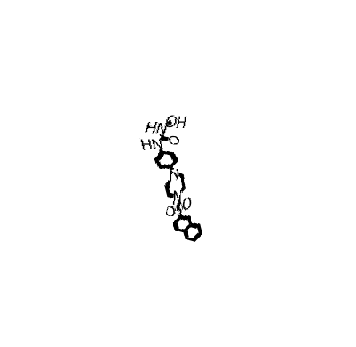 O=C(NO)Nc1ccc(N2CCN(S(=O)(=O)c3ccc4ccccc4c3)CC2)cc1